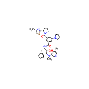 Cc1csc([C@H]2CCCN2C(=O)c2cc(C(=O)N[C@@H](Cc3ccccc3)[C@H](O)CN(C)c3cncc(C(C)C)c3)cc(-n3cccc3)c2)n1